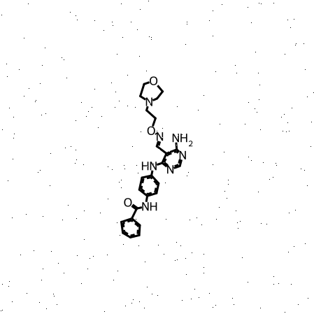 Nc1ncnc(Nc2ccc(NC(=O)c3ccccc3)cc2)c1C=NOCCN1CCOCC1